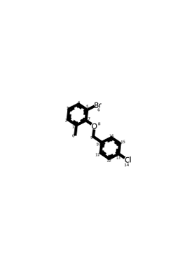 Cc1cccc(Br)c1OCc1ccc(Cl)cc1